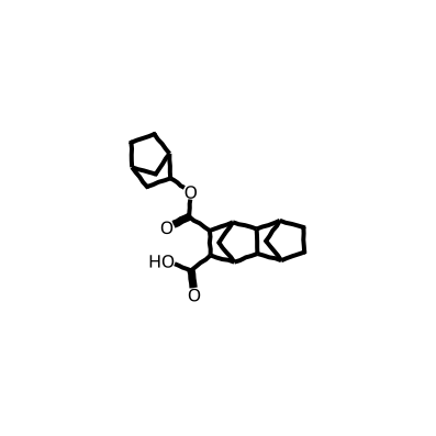 O=C(O)C1C2CC(C1C(=O)OC1CC3CCC1C3)C1C3CCC(C3)C21